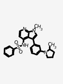 CC1CCCN1c1cccc(-c2cn(C)c3nccc(NS(=O)(=O)c4ccccc4)c23)c1